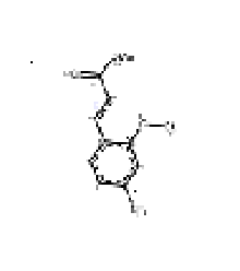 CCOc1cc(C(F)(F)F)ccc1/C=C/C(=O)OC